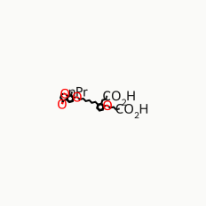 CCCc1c(OCCCCCCc2cccc(OCCCC(=O)O)c2CCC(=O)O)ccc2c1OCCC2=O